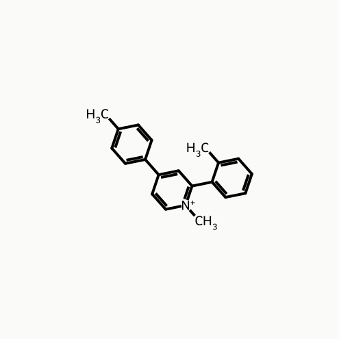 Cc1ccc(-c2cc[n+](C)c(-c3ccccc3C)c2)cc1